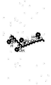 CCC1CC(CCCC(O)CC(O)CC(CCCC2CC(CCCC(O)CC3C[C@H](C)OC(c4ccccc4O)O3)OC(c3ccccc3O)O2)OC(=O)Nc2ccccc2)OC(c2ccccc2O)O1